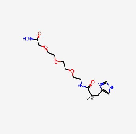 C[C@@H](Cc1c[nH]cn1)C(=O)NCCOCCOCCOCC(N)=O